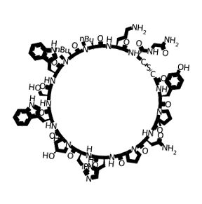 CCCC[C@H]1C(=O)N(C)[C@@H](CCCC)C(=O)N[C@@H](CCCN)C(=O)N[C@H](C(=O)NCC(N)=O)CSCC(=O)N[C@@H](Cc2ccc(O)cc2)C(=O)N2CCC[C@]2(C)C(=O)N[C@@H](CC(N)=O)C(=O)N2CCCC2C(=O)N[C@@H](Cc2cnc[nH]2)C(=O)N[C@@H](CC(C)C)C(=O)N2C[C@H](O)C[C@H]2C(=O)N[C@@H](Cc2c[nH]c3ccccc23)C(=O)N[C@@H](CO)C(=O)N[C@@H](Cc2c[nH]c3ccccc23)C(=O)N1C